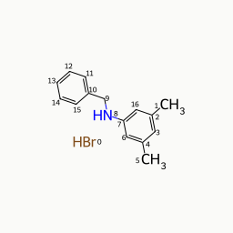 Br.Cc1cc(C)cc(NCc2ccccc2)c1